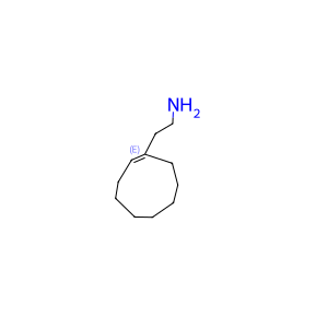 NCC/C1=C/CCCCCCC1